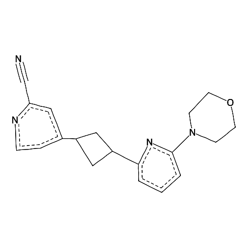 N#Cc1cc(C2CC(c3cccc(N4CCOCC4)n3)C2)ccn1